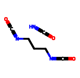 N=C=O.O=C=NCCCN=C=O